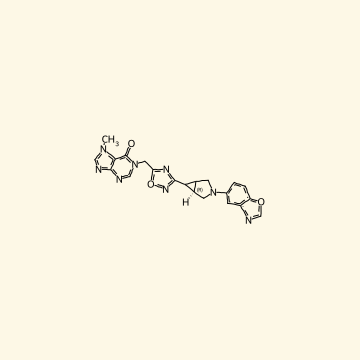 Cn1cnc2ncn(Cc3nc(C4C5CN(c6ccc7ocnc7c6)C[C@H]54)no3)c(=O)c21